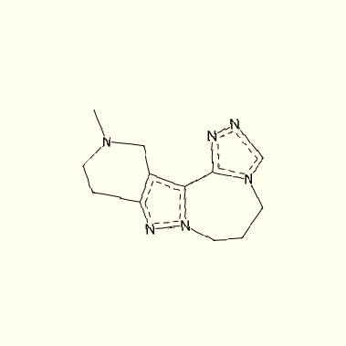 CN1CCc2nn3c(c2C1)-c1nncn1CCC3